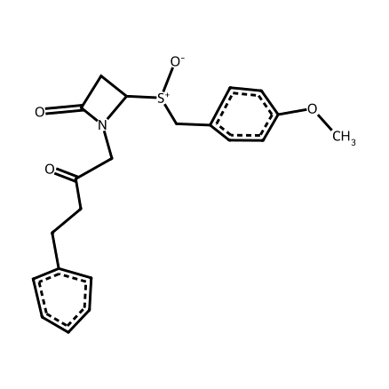 COc1ccc(C[S+]([O-])C2CC(=O)N2CC(=O)CCc2ccccc2)cc1